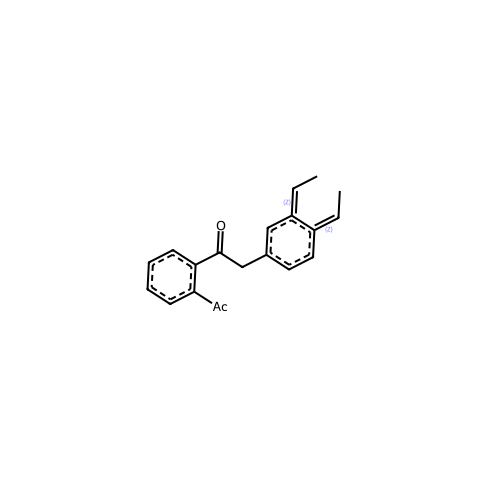 C/C=c1/ccc(CC(=O)c2ccccc2C(C)=O)c/c1=C/C